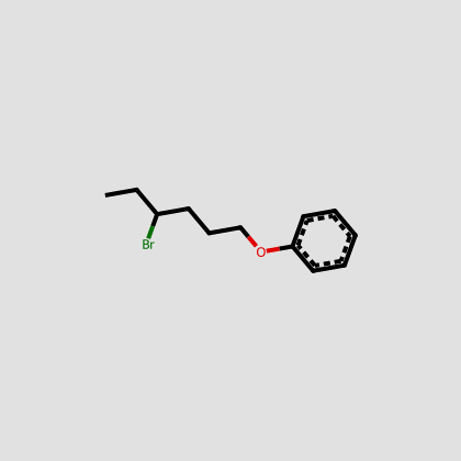 CCC(Br)CCCOc1ccccc1